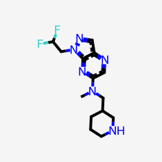 CN(CC1CCCNC1)c1cnc2cnn(CC(F)F)c2n1